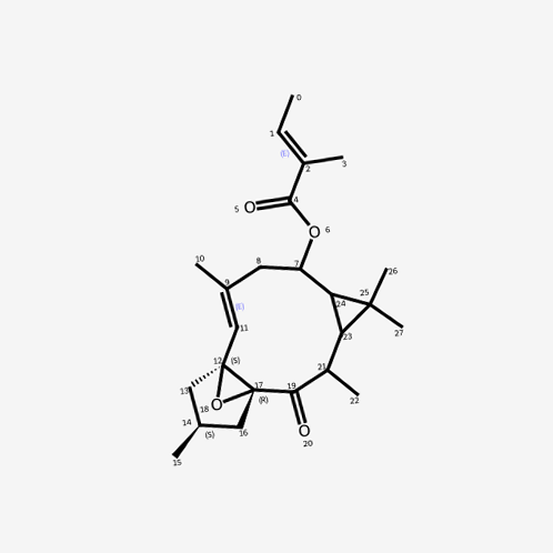 C/C=C(\C)C(=O)OC1C/C(C)=C/[C@@]23[CH][C@H](C)C[C@]2(O3)C(=O)C(C)[C]2C1C2(C)C